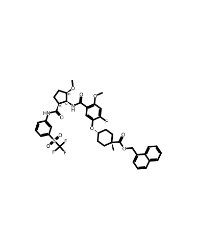 COc1cc(F)c(O[C@H]2CC[C@@](C)(C(=O)OCc3cccc4ccccc34)CC2)cc1C(=O)N[C@H]1[C@@H](C(=O)Nc2cccc(S(=O)(=O)C(F)(F)F)c2)CC[C@H]1OC